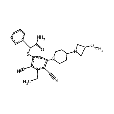 CCc1c(C#N)c(SC(C(N)=O)c2ccccc2)nc(N2CCC(N3CC(OC)C3)CC2)c1C#N